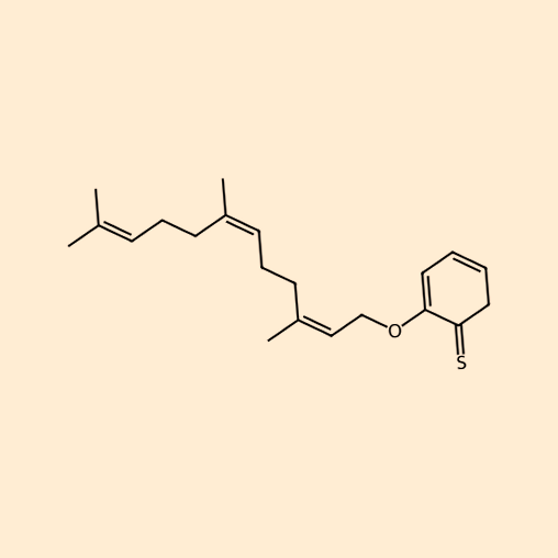 CC(C)=CCCC(C)=CCCC(C)=CCOC1=CC=CCC1=S